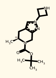 C[C@H]1Cc2cn(C3CNC3)nc2CN1C(=O)OC(C)(C)C